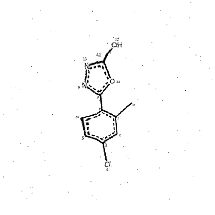 Cc1cc(Cl)ccc1-c1nnc(O)o1